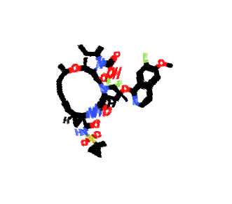 CCC(C)N(C(=O)O)[C@@H]1C(=O)N2[C@@H](C[C@@](C)(Oc3nccc4cc(OC)c(F)cc34)C2(F)F)C(=O)N[C@]2(C(=O)NS(=O)(=O)C3(C)CC3)C[C@H]2/C=C\CC[C@@H](C)O[C@H]1C